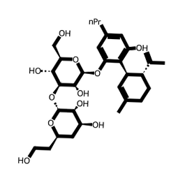 C=C(C)[C@@H]1CCC(C)=C[C@H]1c1c(O)cc(CCC)cc1O[C@@H]1O[C@H](CO)[C@@H](O)[C@H](O[C@H]2O[C@H](CCO)C[C@H](O)[C@H]2O)[C@H]1O